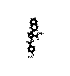 CC(C)Oc1ccc(C(=O)Nc2scc(C3CCc4ccccc4C3)c2C(=O)OI)cc1